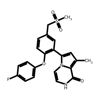 Cc1cc(-c2cc(CS(C)(=O)=O)ccc2Oc2ccc(F)cc2)n2cc[nH]c(=O)c12